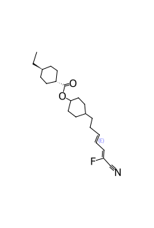 CC[C@H]1CC[C@H](C(=O)OC2CCC(CC/C=C/C=C(F)C#N)CC2)CC1